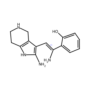 N/C(=C\c1c(N)[nH]c2c1CNCC2)c1ccccc1O